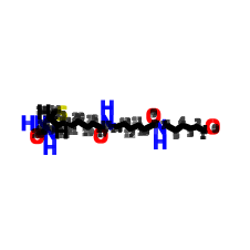 O=[C]CCCCCNC(=O)CCCCCNC(=O)CCCC[C@@H]1SC[C@@H]2NC(=O)N[C@@H]21